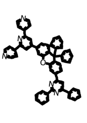 c1ccc(-c2cc(-c3ccc4c(c3)Oc3cc(-c5cc(-c6ccncc6)nc(-c6ccncc6)c5)ccc3C4(c3ccccc3)c3ccccc3)nc(-c3ccccc3)n2)cc1